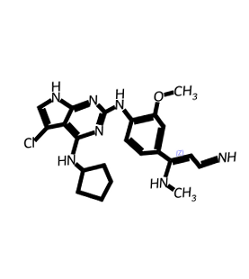 CN/C(=C\C=N)c1ccc(Nc2nc(NC3CCCC3)c3c(Cl)c[nH]c3n2)c(OC)c1